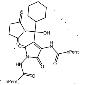 CCCCCC(=O)NC1=C(C(O)(C2CCCCC2)N2C(=O)CCC2=O)C(=O)N(NC(=O)CCCCC)C1=O